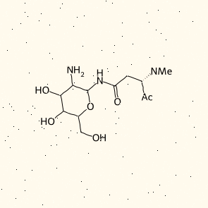 CN[C@@H](CC(=O)NC1OC(CO)C(O)C(O)C1N)C(C)=O